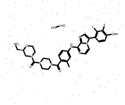 COc1ccc(-c2cnc3c(Nc4ccc(C(=O)N5CCN(C(=O)N6CCO[C@H](CN)C6)CC5)c(C)c4)nccn23)c(F)c1F.O=CO